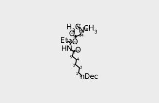 CCCCCCCCCCCCCCCC(=O)NC(CC)OC(=O)CN(C)C